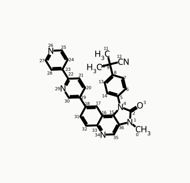 Cn1c(=O)n(-c2ccc(C(C)(C)C#N)cc2)c2c3cc(-c4ccc(-c5ccncc5)nc4)ccc3ncc21